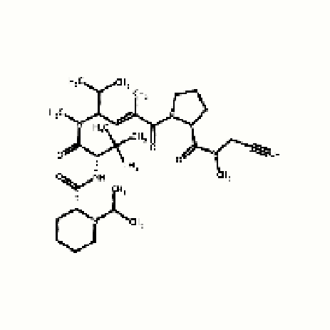 C#CCN(C)C(=O)[C@@H]1CCCN1C(=O)/C(C)=C/C(C(C)C)N(C)C(=O)[C@@H](NC(=O)[C@H]1CCCCN1C(C)C)C(C)(C)C